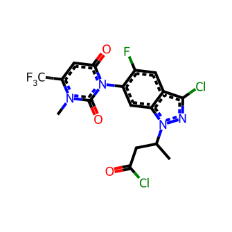 CC(CC(=O)Cl)n1nc(Cl)c2cc(F)c(-n3c(=O)cc(C(F)(F)F)n(C)c3=O)cc21